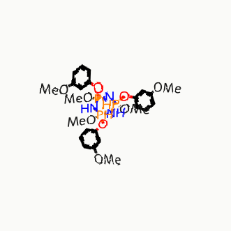 COc1cccc(OP2(OC)=N[PH](OC)(Oc3cccc(OC)c3)N[PH](OC)(Oc3cccc(OC)c3)N2)c1